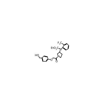 CCOC(=O)N(c1ccccc1C(F)(F)F)C1CCN(C(=O)COc2ccc(CO)cc2)C1